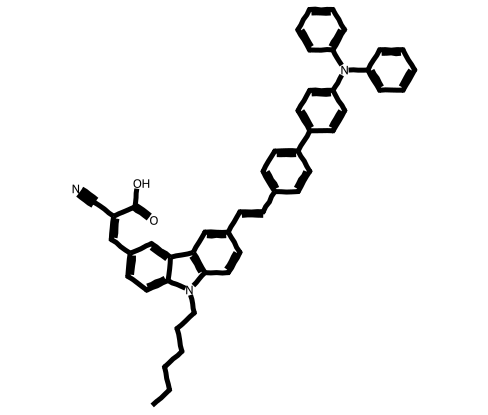 CCCCCCn1c2ccc(C=Cc3ccc(-c4ccc(N(c5ccccc5)c5ccccc5)cc4)cc3)cc2c2cc(C=C(C#N)C(=O)O)ccc21